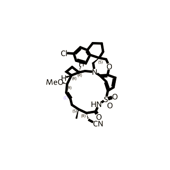 CO[C@H]1/C=C/C[C@H](C)[C@@H](CC#N)C(=O)NS(=O)(=O)c2ccc3c(c2)N(C[C@@H]2CC[C@H]21)C[C@@]1(CCCc2cc(Cl)ccc21)CO3